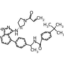 C=CC(=O)N1CC[C@@H](Nc2n[nH]c3nccc(-c4ccc(C(C)NC(=O)c5ccc(C(C)(C)C)cc5)cc4)c23)C1